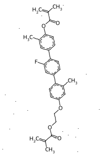 C=C(C)C(=O)OCCOc1ccc(-c2ccc(-c3ccc(OC(=O)C(=C)C)c(C)c3)c(F)c2)c(C)c1